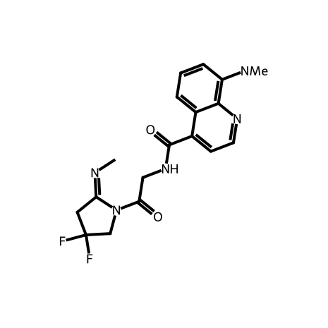 C/N=C1/CC(F)(F)CN1C(=O)CNC(=O)c1ccnc2c(NC)cccc12